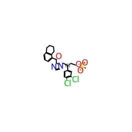 CS(=O)(=O)OCC[C@H](Cn1ccnc1C(=O)c1cccc2c1CCCC2)c1ccc(Cl)c(Cl)c1